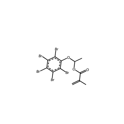 C=C(C)C(=O)OC(C)Oc1c(Br)c(Br)c(Br)c(Br)c1Br